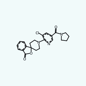 O=C1OC2(CCN(c3ncc(C(=O)N4CCCC4)cc3Cl)CC2)c2ccccc21